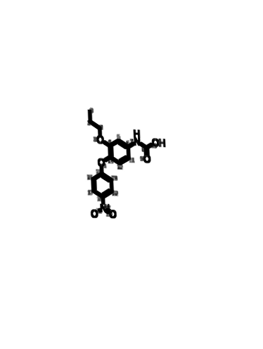 CCCOc1cc(NC(=O)O)ccc1Oc1ccc([N+](=O)[O-])cc1